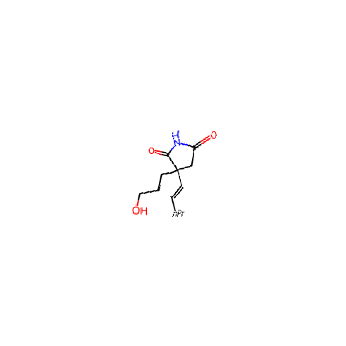 CCCC=CC1(CCCO)CC(=O)NC1=O